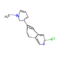 CN1C=CC=C(c2ccc3cnc(Cl)cc3c2)C1